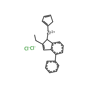 CCC1=Cc2c(-c3ccccc3)cccc2[CH]1[Zr+2][C]1=CC=CC1.[Cl-].[Cl-]